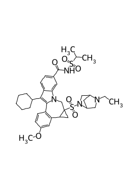 CCN1CC2CC1CN2S(=O)(=O)C12CC1c1cc(OC)ccc1-c1c(C3CCCCC3)c3ccc(C(=O)NS(=O)(=O)C(C)C)cc3n1C2